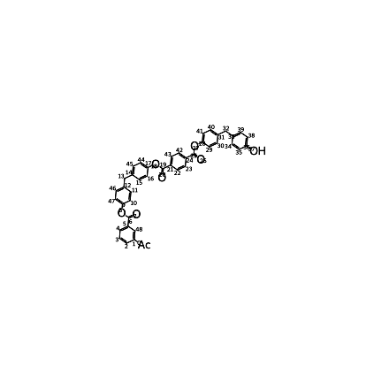 CC(=O)c1cccc(C(=O)Oc2ccc(Cc3ccc(OC(=O)c4ccc(C(=O)Oc5ccc(Cc6ccc(O)cc6)cc5)cc4)cc3)cc2)c1